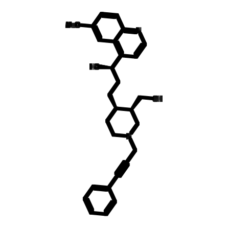 COc1ccc2nccc([C@H](O)CC[C@@H]3CCN(CC#Cc4ccccc4)C[C@@H]3CO)c2c1